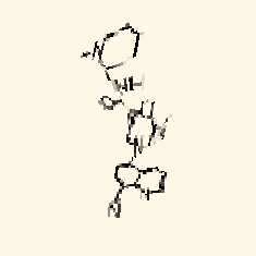 C[C@@H]1CN(c2ccc(C#N)c3ncccc23)C[C@H](C(=O)NCC2CCCCN2C)O1